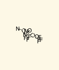 N#Cc1ccn2c(=O)c(-c3ccc(OCC(F)(F)F)cc3)c(C(F)(F)F)nc2c1